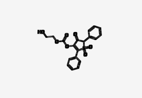 O=C(OCCO)OC1=C(c2ccccc2)S(=O)(=O)C(c2ccccc2)C1=O